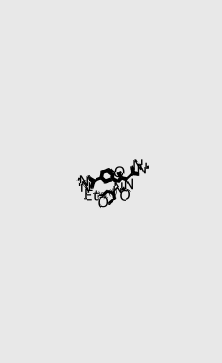 CC[C@H]1C[C@@H](n2c(=O)nc(-c3cnn(C)c3)c3oc4ccc(-c5cnn(C)c5)cc4c32)CCO1